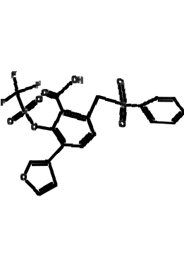 O=C(O)c1c(CS(=O)(=O)c2ccccc2)ccc(-c2ccoc2)c1OS(=O)(=O)C(F)(F)F